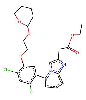 CCOC(=O)Cc1cn2c(-c3cc(OCCOC4CCCCO4)c(Cl)cc3Cl)cccc2n1